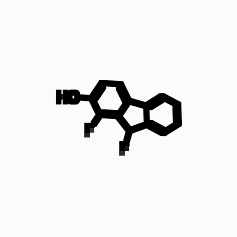 Oc1ccc2c(c1F)C(F)c1ccccc1-2